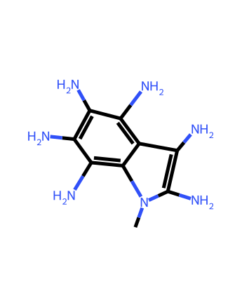 Cn1c(N)c(N)c2c(N)c(N)c(N)c(N)c21